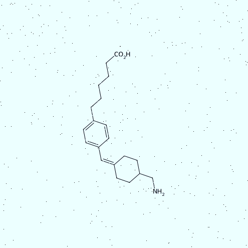 NCC1CCC(=Cc2ccc(CCCCCC(=O)O)cc2)CC1